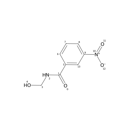 O=C(NCO)c1cccc([N+](=O)[O-])c1